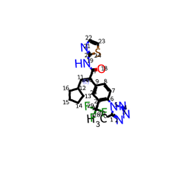 Cc1nnnn1-c1ccc(/C(=C\C2CCCC2)C(=O)Nc2nccs2)cc1C(F)(F)F